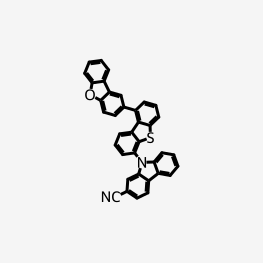 N#Cc1ccc2c3ccccc3n(-c3cccc4c3sc3cccc(-c5ccc6oc7ccccc7c6c5)c34)c2c1